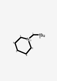 CC(C)(C)CN1[CH]CCCC1